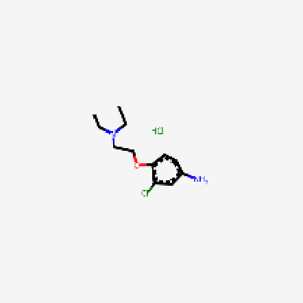 CCN(CC)CCOc1ccc(N)cc1Cl.Cl